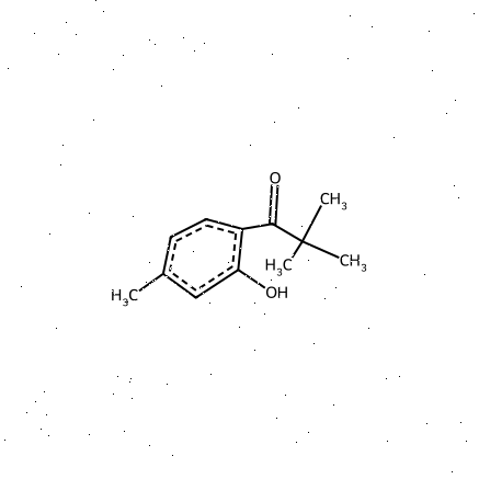 Cc1ccc(C(=O)C(C)(C)C)c(O)c1